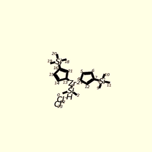 C[SiH](C)[Zr+2]([CH]1C=CC([Si](C)(C)C)=C1)[CH]1C=CC([Si](C)(C)C)=C1.[Cl-].[Cl-]